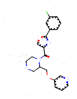 Cl.Cl.O=C(c1coc(-c2cccc(Cl)c2)n1)N1CCNCC1COc1cccnc1